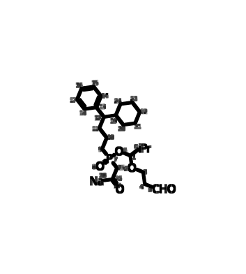 CC(C)C(OCCC=O)OP(=O)(CCCC(c1ccccc1)C1CCCCC1)C[C](=O)[Na]